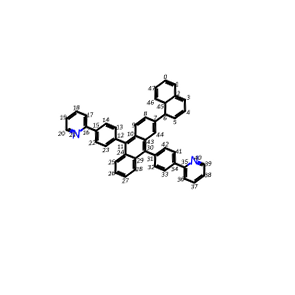 C1=CC2=CC=CC(c3ccc4c(-c5ccc(-c6ccccn6)cc5)c5ccccc5c(-c5ccc(-c6ccccn6)cc5)c4c3)C2C=C1